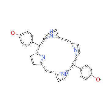 [O]c1ccc(-c2c3nc(cc4ccc([nH]4)c(-c4ccc([O])cc4)c4nc(cc5ccc2[nH]5)C=C4)C=C3)cc1